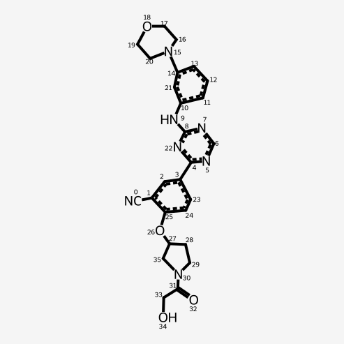 N#Cc1cc(-c2ncnc(Nc3cccc(N4CCOCC4)c3)n2)ccc1OC1CCN(C(=O)CO)C1